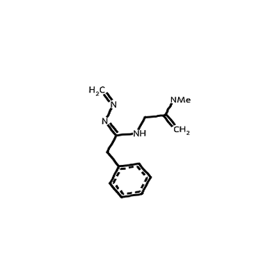 C=N/N=C(/Cc1ccccc1)NCC(=C)NC